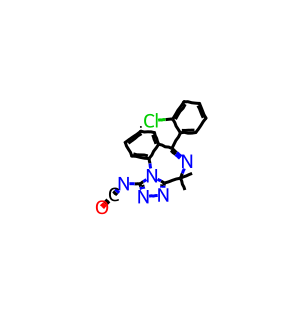 CC1(C)N=C(c2ccccc2Cl)c2c[c]ccc2-n2c(N=C=O)nnc21